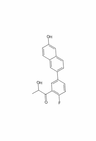 CC(O)C(=O)c1cc(-c2ccc3cc(O)ccc3c2)ccc1F